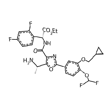 CCOC(=O)[C@H](NC(=O)c1nc(-c2ccc(OC(F)F)c(OCC3CC3)c2)oc1[C@H](C)N)c1ccc(F)cc1F